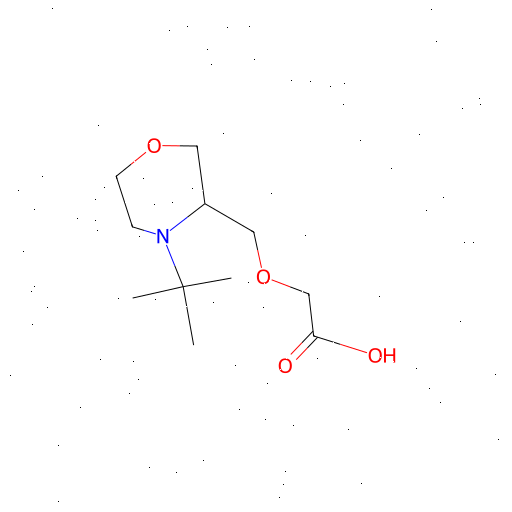 CC(C)(C)N1CCOCC1COCC(=O)O